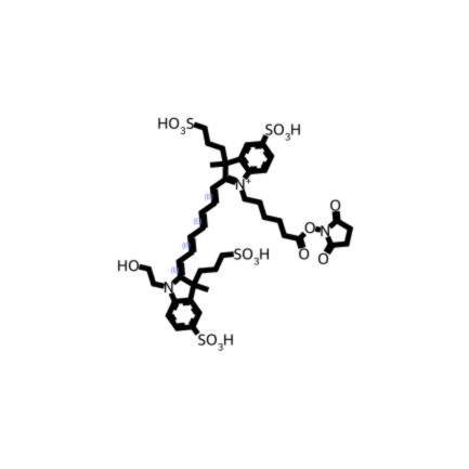 CC1(CCCS(=O)(=O)O)C(/C=C/C=C/C=C/C=C2/N(CCO)c3ccc(S(=O)(=O)O)cc3C2(C)CCCS(=O)(=O)O)=[N+](CCCCCC(=O)ON2C(=O)CCC2=O)c2ccc(S(=O)(=O)O)cc21